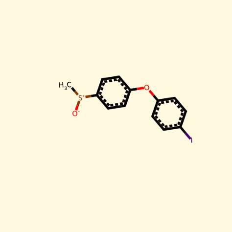 C[S+]([O-])c1ccc(Oc2ccc(I)cc2)cc1